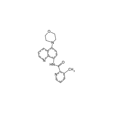 Cc1cccnc1C(=O)Nc1ccc(N2CCOCC2)c2cccnc12